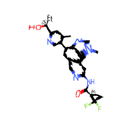 CC[C@H](O)c1cc(C)c(-c2cc3cnc(NC(=O)[C@H]4CC4(F)F)cc3c3c2ncn3C)cn1